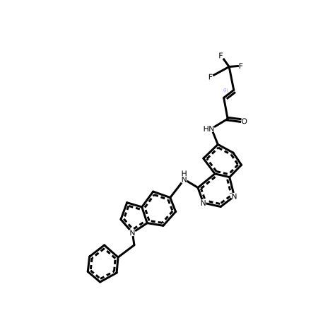 O=C(/C=C/C(F)(F)F)Nc1ccc2ncnc(Nc3ccc4c(ccn4Cc4ccccc4)c3)c2c1